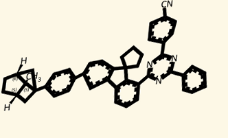 C[C@@]12[C@@H]3CC[C@H]1CC2(c1ccc(-c2ccc4c(c2)-c2cccc(-c5nc(-c6ccccc6)nc(-c6ccc(C#N)cc6)n5)c2C42CCCC2)cc1)C3